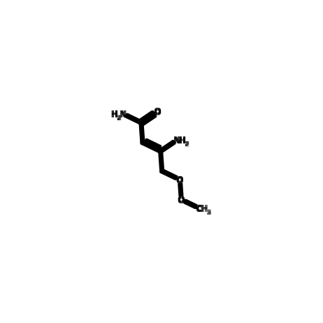 COOC/C(N)=C/C(N)=O